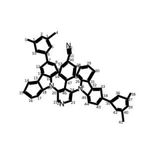 Cc1cc(C)cc(-c2ccc3c(c2)c2ccccc2n3-c2cncc(-n3c4ccccc4c4cc(-c5cc(C)cc(C)c5)ccc43)c2-c2ccc(C#N)cc2)c1